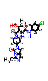 Cc1ncc2n1C(=O)N(C1CCN(C(=O)[C@H](NC(=O)Nc3ccc(Cl)cc3)C(C)O)CC1)C2